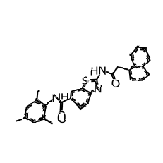 Cc1cc(C)c(NC(=O)c2ccc3nc(NC(=O)Cc4cccc5ccccc45)sc3c2)c(C)c1